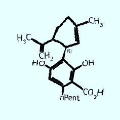 C=C(C)C1CCC(C)=C[C@H]1c1c(O)cc(CCCCC)c(C(=O)O)c1O